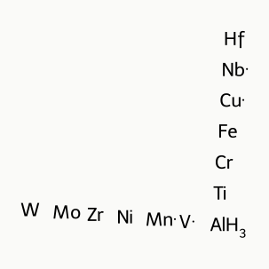 [AlH3].[Cr].[Cu].[Fe].[Hf].[Mn].[Mo].[Nb].[Ni].[Ti].[V].[W].[Zr]